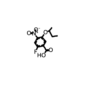 CCC(C)Oc1cc(C(=O)O)c(F)cc1[N+](=O)[O-]